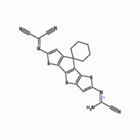 N#CC(C#N)=Nc1cc2c(s1)-c1sc3cc(/N=C(\N)C#N)sc3c1C21CCCCC1